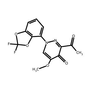 COc1cn(-c2cccc3c2OC(F)(F)O3)nc(C(C)=O)c1=O